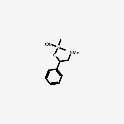 CNCC(O[Si](C)(C)C(C)(C)C)c1ccccc1